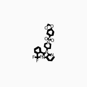 O=S(=O)(c1ccc2c(c1)OCO2)N1CCC(n2c(-c3ccccc3C(F)(F)F)nc3cccnc32)CC1